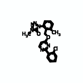 Cc1cccc(-n2nnn(C)c2=O)c1COc1ccnc(-c2ccccc2Cl)n1